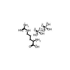 N=C(N)NCCCC(N)C(=O)O.O=P(O)(O)F.O=P(O)(O)O